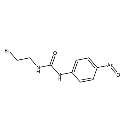 O=[As]c1ccc(NC(=O)NCCBr)cc1